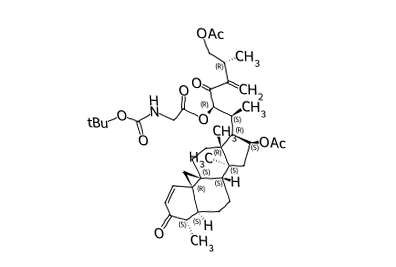 C=C(C(=O)[C@H](OC(=O)CNC(=O)OC(C)(C)C)[C@@H](C)[C@H]1[C@@H](OC(C)=O)C[C@@]2(C)[C@@H]3CC[C@H]4[C@H](C)C(=O)C=C[C@@]45C[C@@]35CC[C@]12C)[C@@H](C)COC(C)=O